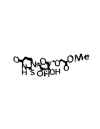 COC(=O)COC[C@H]1O[C@@H](n2ccc(=O)[nH]c2=S)[C@H](O)[C@@H]1O